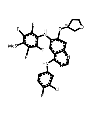 CSc1c(F)c(F)c(Nc2cc3c(Nc4ccc(F)c(Cl)c4)ncnc3cc2O[C@H]2CCOC2)c(F)c1F